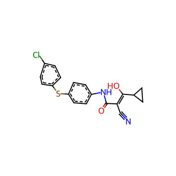 N#CC(C(=O)Nc1ccc(Sc2ccc(Cl)cc2)cc1)=C(O)C1CC1